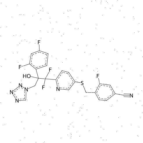 N#Cc1ccc(CSc2ccc(C(F)(F)C(O)(Cn3cnnn3)c3ccc(F)cc3F)nc2)c(F)c1